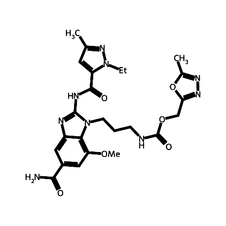 CCn1nc(C)cc1C(=O)Nc1nc2cc(C(N)=O)cc(OC)c2n1CCCNC(=O)OCc1nnc(C)o1